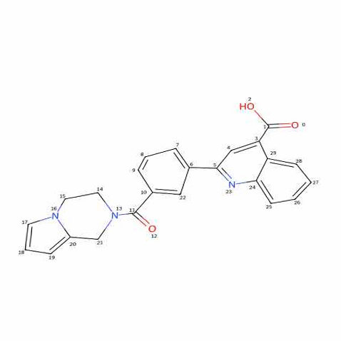 O=C(O)c1cc(-c2cccc(C(=O)N3CCn4cccc4C3)c2)nc2ccccc12